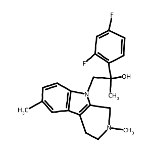 Cc1ccc2c(c1)c1c(n2CC(C)(O)c2ccc(F)cc2F)CN(C)CC1